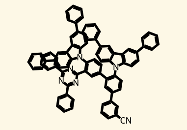 N#Cc1cccc(-c2ccc(-n3c4ccc(-c5ccccc5)cc4c4cc(-c5ccccc5)ccc43)c(-c3ccc(-n4c5ccc(-c6ccccc6)cc5c5cc(-c6ccccc6)ccc54)c(-c4nc(-c5ccccc5)nc(-c5ccccc5)n4)c3)c2)c1